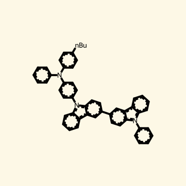 CCCCc1ccc(N(c2ccccc2)c2ccc(-n3c4ccccc4c4cc(-c5ccc6c(c5)c5ccccc5n6-c5ccccc5)ccc43)cc2)cc1